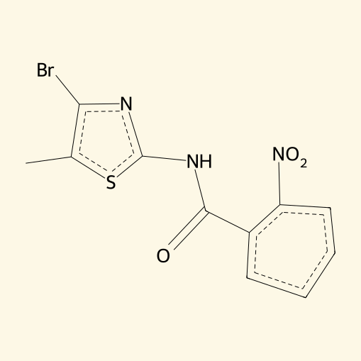 Cc1sc(NC(=O)c2ccccc2[N+](=O)[O-])nc1Br